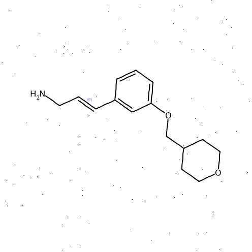 NC/C=C/c1cccc(OCC2CCOCC2)c1